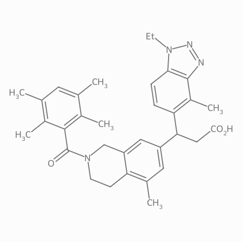 CCn1nnc2c(C)c(C(CC(=O)O)c3cc(C)c4c(c3)CN(C(=O)c3c(C)c(C)cc(C)c3C)CC4)ccc21